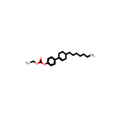 CCCCCCCC1CC=C(c2ccc(OC(=O)OCC)cc2)CC1